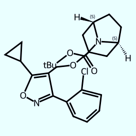 CC(C)(C)OC(=O)N1[C@H]2CC[C@H]1CC(OCc1c(-c3ccccc3Cl)noc1C1CC1)C2